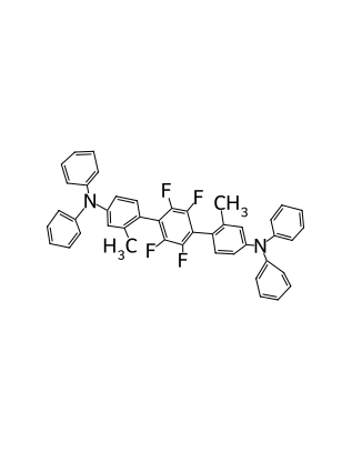 Cc1cc(N(c2ccccc2)c2ccccc2)ccc1-c1c(F)c(F)c(-c2ccc(N(c3ccccc3)c3ccccc3)cc2C)c(F)c1F